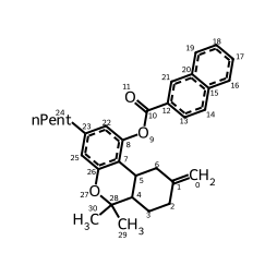 C=C1CCC2C(C1)c1c(OC(=O)c3ccc4ccccc4c3)cc(CCCCC)cc1OC2(C)C